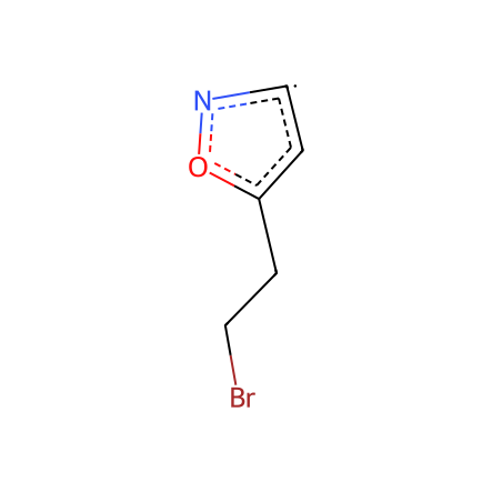 BrCCc1c[c]no1